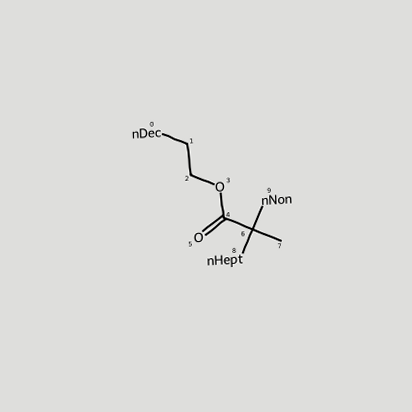 CCCCCCCCCCCCOC(=O)C(C)(CCCCCCC)CCCCCCCCC